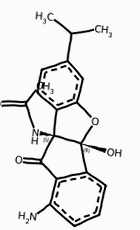 CC(=O)N[C@]12C(=O)c3c(N)cccc3[C@@]1(O)Oc1cc(C(C)C)ccc12